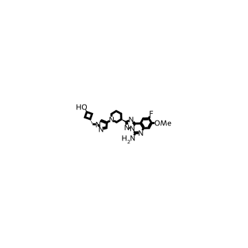 COc1cc2nc(N)n3nc([C@@H]4CCCN(c5cnn(C[C@H]6C[C@@H](O)C6)c5)C4)nc3c2cc1F